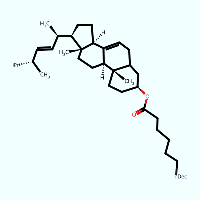 CCCCCCCCCCCCCCCC(=O)O[C@H]1CC[C@@]2(C)C(CC=C3[C@@H]4CC[C@H]([C@H](C)/C=C/[C@H](C)C(C)C)[C@@]4(C)CC[C@@H]32)C1